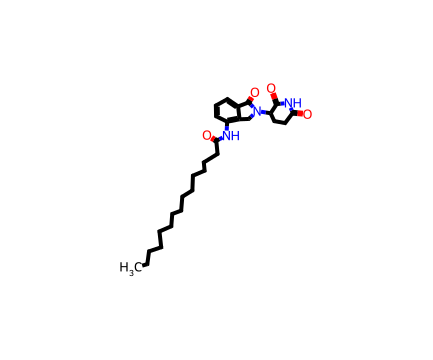 CCCCCCCCCCCCCCC(=O)Nc1cccc2c1CN(C1CCC(=O)NC1=O)C2=O